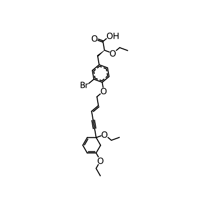 CCOC1=CC=CC(C#C/C=C/COc2ccc(C[C@H](OCC)C(=O)O)cc2Br)(OCC)C1